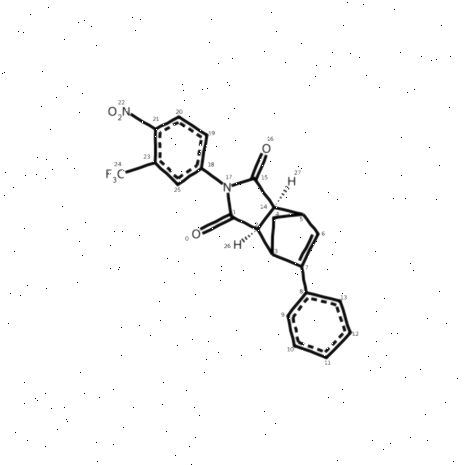 O=C1[C@@H]2C3CC(C=C3c3ccccc3)[C@@H]2C(=O)N1c1ccc([N+](=O)[O-])c(C(F)(F)F)c1